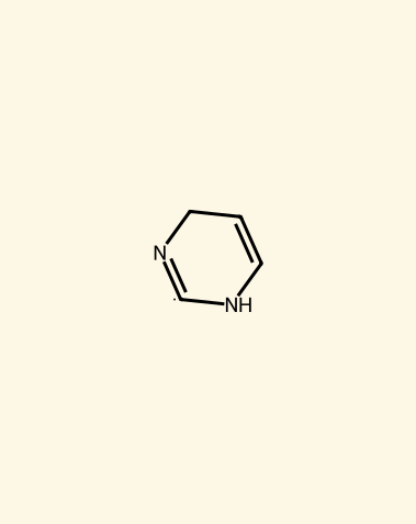 [C]1=NCC=CN1